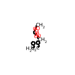 C=CC(=O)OC(=O)/C=C\C(=O)OC(=O)C=C.C=Cc1ccccc1.C=Cc1ccccc1